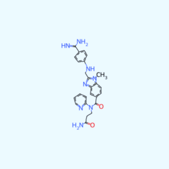 Cn1c(CNc2ccc(C(=N)N)cc2)nc2cc(C(=O)N(CCC(N)=O)c3ccccn3)ccc21